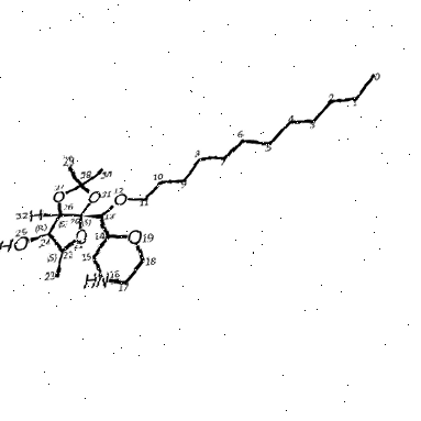 CCCCCCCCCCCCOC(C1CNCCO1)[C@@]12O[C@@H](C)[C@@H](O)[C@@H]1OC(C)(C)O2